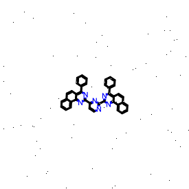 c1ccc(-c2nc(-c3ccnc(-c4nc(-c5ccccc5)c5ccc6ccccc6c5n4)n3)nc3c2ccc2ccccc23)cc1